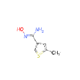 [CH2]c1cc(C(N)=NO)cs1